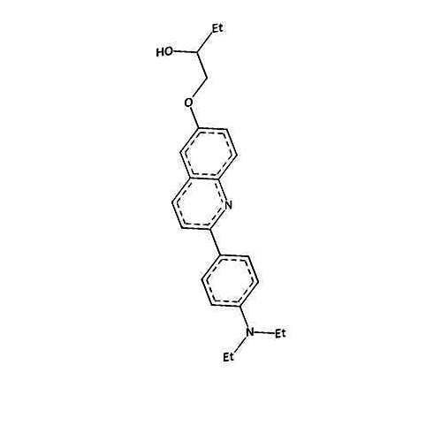 CCC(O)COc1ccc2nc(-c3ccc(N(CC)CC)cc3)ccc2c1